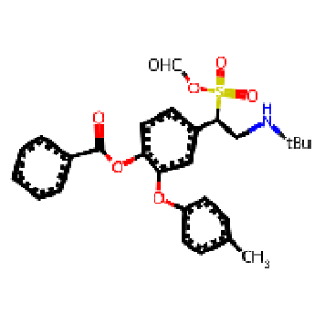 Cc1ccc(Oc2cc(C(CNC(C)(C)C)S(=O)(=O)OC=O)ccc2OC(=O)c2ccccc2)cc1